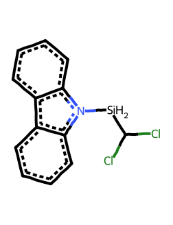 ClC(Cl)[SiH2]n1c2ccccc2c2ccccc21